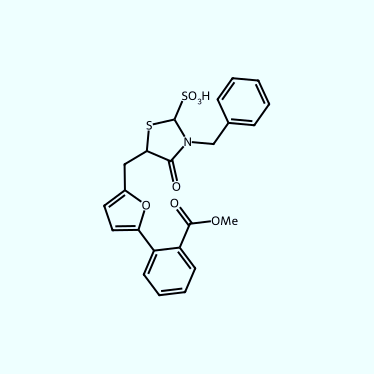 COC(=O)c1ccccc1-c1ccc(CC2SC(S(=O)(=O)O)N(Cc3ccccc3)C2=O)o1